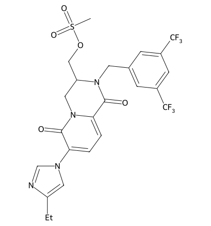 CCc1cn(-c2ccc3n(c2=O)CC(COS(C)(=O)=O)N(Cc2cc(C(F)(F)F)cc(C(F)(F)F)c2)C3=O)cn1